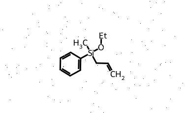 C=CC[Si](C)(OCC)c1ccccc1